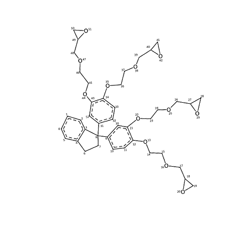 c1ccc2c(c1)CCC2(c1ccc(OCCOCC2CO2)c(OCCOCC2CO2)c1)c1ccc(OCCOCC2CO2)c(OCCOCC2CO2)c1